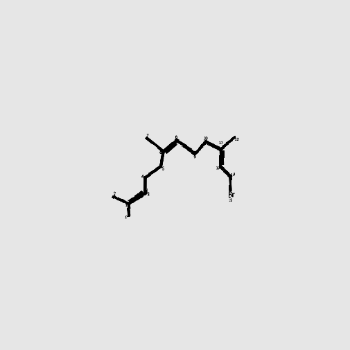 CC(C)=CCC/C(C)=C\CCC(C)=CCBr